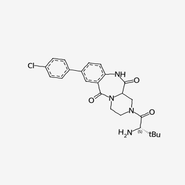 CC(C)(C)[C@H](N)C(=O)N1CCN2C(=O)c3cc(-c4ccc(Cl)cc4)ccc3NC(=O)C2C1